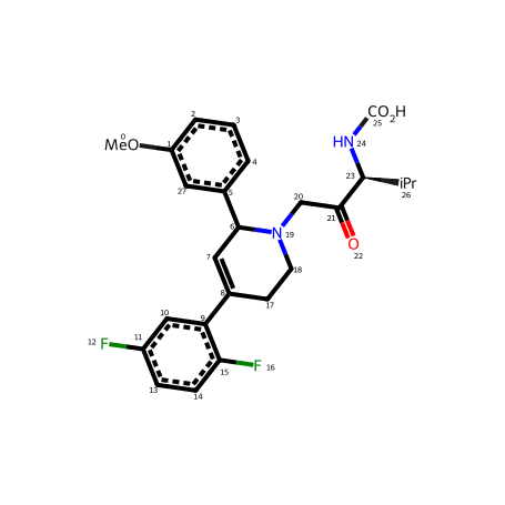 COc1cccc(C2C=C(c3cc(F)ccc3F)CCN2CC(=O)[C@@H](NC(=O)O)C(C)C)c1